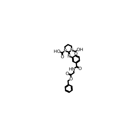 O=C(CNC(=O)c1cccc(N=C2N(C(=O)O)CCCN2C(=O)O)c1)OCc1ccccc1